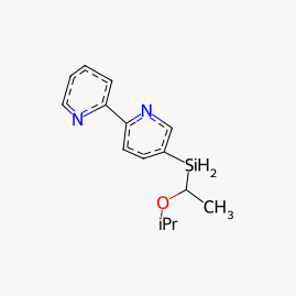 CC(C)OC(C)[SiH2]c1ccc(-c2ccccn2)nc1